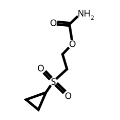 NC(=O)OCCS(=O)(=O)C1CC1